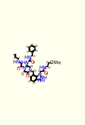 C=CCNCC(=O)N1[C@@H](NC(=O)NCc2ccccc2)CN(Cc2cccc3c2N(CC(=O)NCCOC)NN3)C(=O)[C@@H]1C